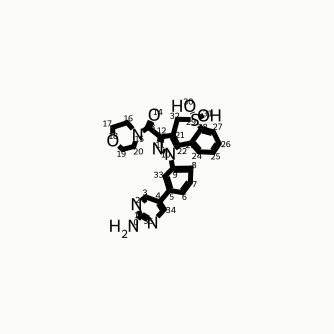 Nc1ncc(-c2cccc(-n3nc(C(=O)N4CCOCC4)c4c3-c3ccccc3S(O)(O)C4)c2)cn1